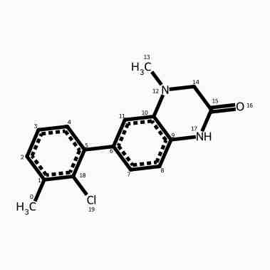 Cc1cccc(-c2ccc3c(c2)N(C)CC(=O)N3)c1Cl